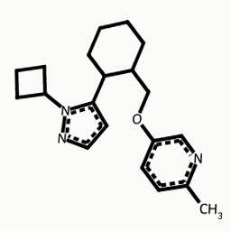 Cc1ccc(OCC2CCCCC2c2ccnn2C2CCC2)cn1